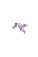 C=CCNC(=O)OC(C(=O)N1C[C@H](O)C[C@H]1C(=O)NCc1ccc(-c2scnc2C)cc1)C(C)(C)C